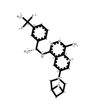 Cc1nnc(N[C@H](C)c2cccc(C(C)(F)F)c2)c2cc(N3CC4CC(C3)O4)cnc12